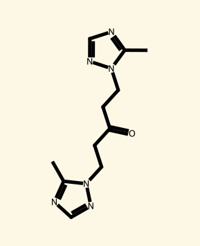 Cc1ncnn1CCC(=O)CCn1ncnc1C